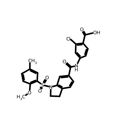 COc1ccc(C)cc1S(=O)(=O)N1CCc2ccc(C(=O)Nc3ccc(C(=O)O)c(Cl)c3)cc21